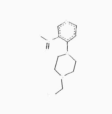 CCN1CCN(c2ccncc2[N+](=O)[O-])CC1